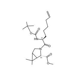 C=CCCCC[C@H](NC(=O)OC(C)(C)C)C(=O)N1CC2C([C@H]1C(=O)OC)C2(C)C